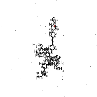 COC(=O)N[C@H](C(=O)N[C@@H](Cc1ccc(C#Cc2cnc(N3C[C@H]4C[C@@H]3CN4C3COC3)nc2)cc1)[C@@H](O)CN(Cc1c(F)cc(-c2ccn(CC(F)F)n2)cc1F)NC(=O)[C@@H](NC(=O)OC)C(C)(C)C(F)(F)F)C(C)(C)C(F)(F)F